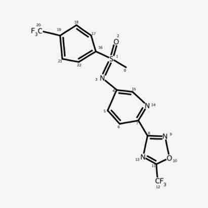 CS(=O)(=Nc1ccc(-c2noc(C(F)(F)F)n2)nc1)c1ccc(C(F)(F)F)cc1